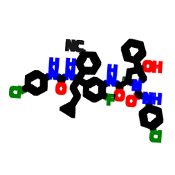 N#Cc1cccc(C(CCC2CC2)(NC(=O)Nc2ccc(Cl)cc2)c2ccc(F)c(NC(=O)[C@H]3C[C@](O)(c4ccccc4)CN3C(=O)Nc3ccc(Cl)cc3)c2)c1